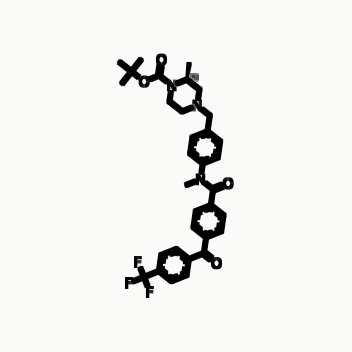 C[C@H]1CN(Cc2ccc(N(C)C(=O)c3ccc(C(=O)c4ccc(C(F)(F)F)cc4)cc3)cc2)CCN1C(=O)OC(C)(C)C